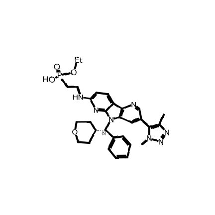 CCOP(=O)(O)CCNc1ccc2c3ncc(-c4c(C)nnn4C)cc3n([C@H](c3ccccc3)C3CCOCC3)c2n1